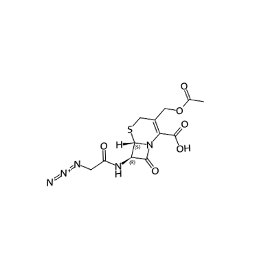 CC(=O)OCC1=C(C(=O)O)N2C(=O)[C@@H](NC(=O)CN=[N+]=[N-])[C@@H]2SC1